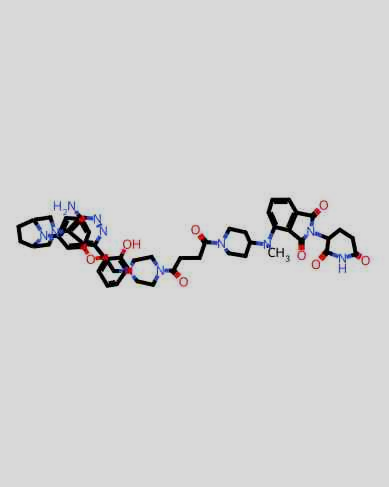 CN(c1cccc2c1C(=O)N(C1CCC(=O)NC1=O)C2=O)C1CCN(C(=O)CCC(=O)N2CCN(CCOc3cccc(N4C5CCC4CN(c4cc(-c6ccccc6O)nnc4N)C5)c3)CC2)CC1